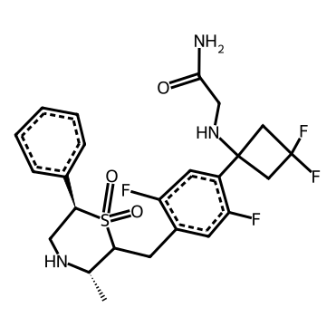 C[C@@H]1NC[C@@H](c2ccccc2)S(=O)(=O)C1Cc1cc(F)c(C2(NCC(N)=O)CC(F)(F)C2)cc1F